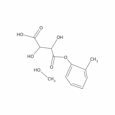 CO.Cc1ccccc1OC(=O)C(O)C(O)C(=O)O